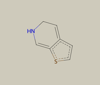 C1=c2ccsc2=CNC1